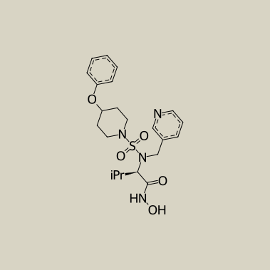 CC(C)[C@H](C(=O)NO)N(Cc1cccnc1)S(=O)(=O)N1CCC(Oc2ccccc2)CC1